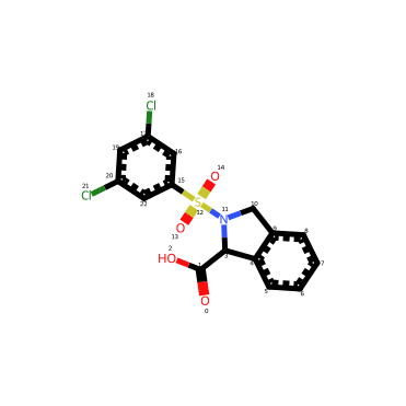 O=C(O)C1c2ccccc2CN1S(=O)(=O)c1cc(Cl)cc(Cl)c1